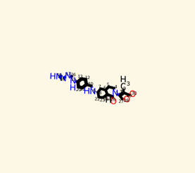 CC1=C(N2CCC3C[C@@H](NCc4ccc(N/C=N\N=N)cc4)CC[C@H]3C2=O)COC1=O